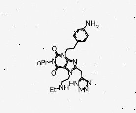 CCCn1c(=O)c2c(nc(Cc3nnn[nH]3)n2CCNCC)n(CCc2ccc(N)cc2)c1=O